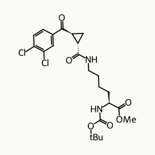 COC(=O)[C@H](CCCCNC(=O)[C@H]1C[C@@H]1C(=O)c1ccc(Cl)c(Cl)c1)NC(=O)OC(C)(C)C